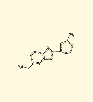 BCc1ccc2oc(-c3cccc(N)c3)nc2n1